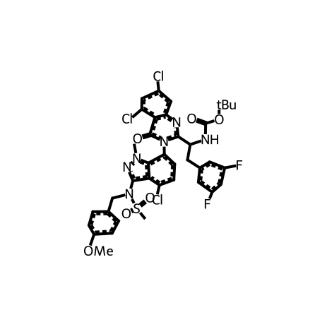 COc1ccc(CN(c2nn(C)c3c(-n4c(C(Cc5cc(F)cc(F)c5)NC(=O)OC(C)(C)C)nc5cc(Cl)cc(Cl)c5c4=O)ccc(Cl)c23)S(C)(=O)=O)cc1